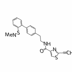 C#Cc1nc(C(=O)NCCc2ccc(-c3ccccc3SNC)cc2)cs1